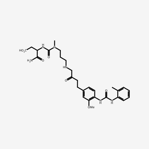 COc1cc(CCC(=O)CNCCCN(C)C(=O)NC(CC(=O)O)C(N)=O)ccc1NC(=O)Nc1ccccc1C